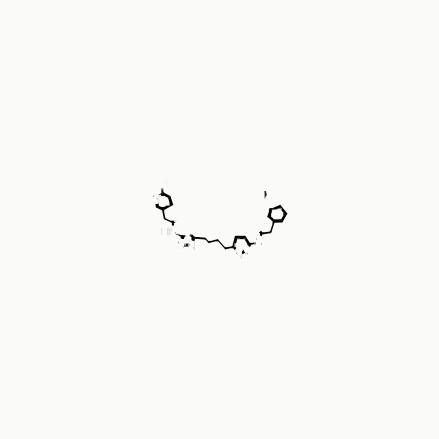 O=C(Cc1cccc(OCF)c1)Nc1ccc(CCCCc2nnc(NC(=O)Cc3ccc(Cl)nc3)s2)nn1